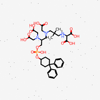 CC(C)(CNC(C(=O)O)C(=O)O)CN(CC(=O)O)CC(COP(=O)(O)OC1CCC(c2ccccc2)(c2ccccc2)CC1)N(CC(=O)O)CC(=O)O